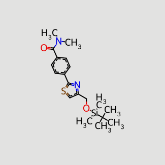 CN(C)C(=O)c1ccc(-c2nc(CO[Si](C)(C)C(C)(C)C)cs2)cc1